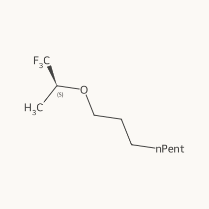 CCCCCCCCO[C@@H](C)C(F)(F)F